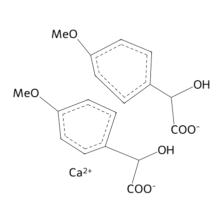 COc1ccc(C(O)C(=O)[O-])cc1.COc1ccc(C(O)C(=O)[O-])cc1.[Ca+2]